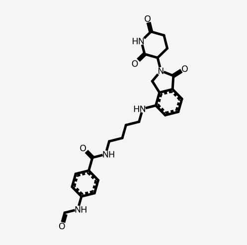 O=CNc1ccc(C(=O)NCCCCNc2cccc3c2CN(C2CCC(=O)NC2=O)C3=O)cc1